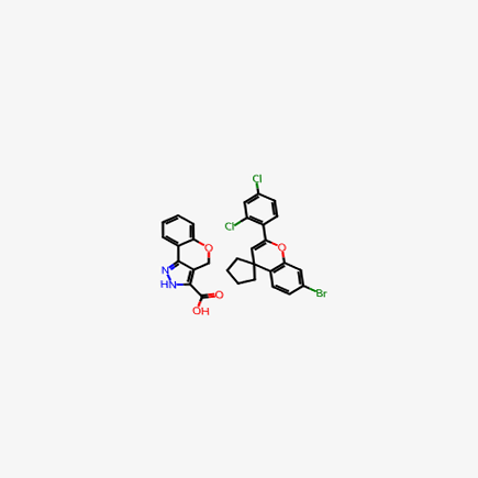 Clc1ccc(C2=CC3(CCCC3)c3ccc(Br)cc3O2)c(Cl)c1.O=C(O)c1[nH]nc2c1COc1ccccc1-2